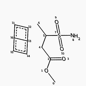 COC(=O)CC(C)S(N)(=O)=O.c1cc2ccc1-2